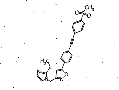 CCc1nccn1Cc1cc(-c2ccc(C#Cc3ccc(S(C)(=O)=O)cc3)cc2)on1